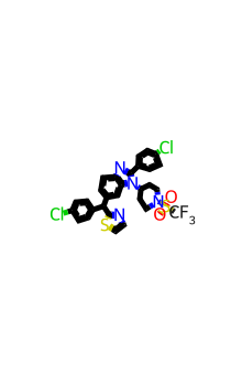 O=S(=O)(N1CCC(n2c(-c3ccc(Cl)cc3)nc3ccc(C(c4ccc(Cl)cc4)c4nccs4)cc32)CC1)C(F)(F)F